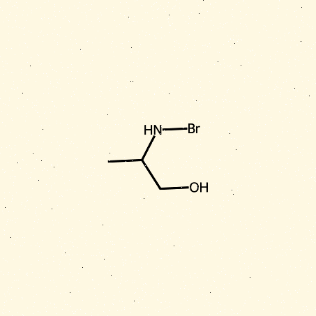 CC(CO)NBr